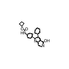 O=C(Nc1ccc(-c2nc3ccnc(O)c3cc2-c2ccccc2)cc1)OC1CCC1